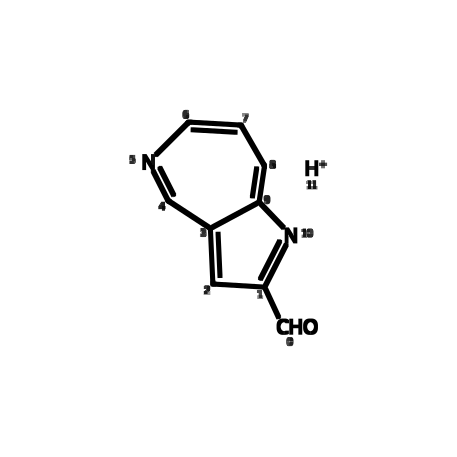 O=Cc1cc2cncccc-2n1.[H+]